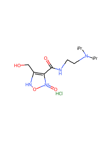 CC(C)N(CCNC(=O)c1c(CO)[nH]o[n+]1=O)C(C)C.Cl